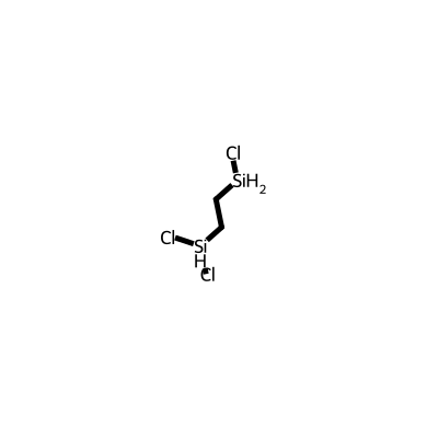 Cl[SiH2]CC[SiH](Cl)Cl